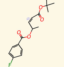 CC(/C=C\C(=O)OC(C)(C)C)OC(=O)c1ccc(F)cc1